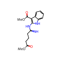 COC(=O)CCCC(=N)Nc1[nH]c2ccccc2c1C(=O)OC